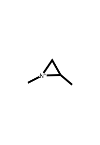 CC1C[N+]1C